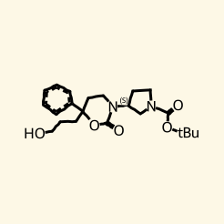 CC(C)(C)OC(=O)N1CC[C@H](N2CCC(CCCO)(c3ccccc3)OC2=O)C1